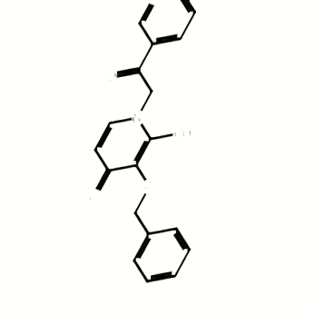 Cc1c(OCc2ccccc2)c(=O)ccn1CC(=O)c1cccnc1